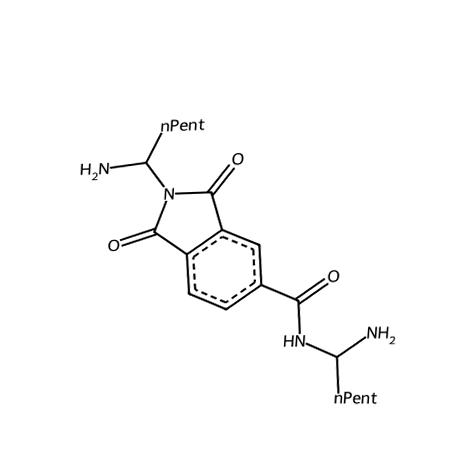 CCCCCC(N)NC(=O)c1ccc2c(c1)C(=O)N(C(N)CCCCC)C2=O